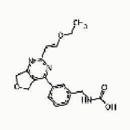 CCOC=Cc1nc2c(c(-c3cccc(CNC(=O)O)c3)n1)COC2